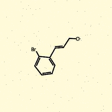 [O]CC=Cc1ccccc1Br